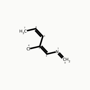 C=N/C=C(Cl)\C=C/C